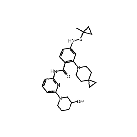 CC1(SNc2ccc(C(=O)Nc3cccc(N4CCCC(O)C4)n3)c(N3CCC4(CC3)CC4)c2)CC1